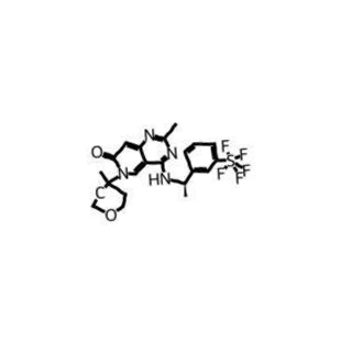 Cc1nc(N[C@H](C)c2cccc(S(F)(F)(F)(F)F)c2)c2cn(C3(C)CCOCC3)c(=O)cc2n1